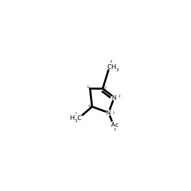 CC(=O)N1N=C(C)CC1C